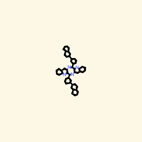 c1cc(/C2=N/c3cc4ccccc4nc3/C(c3cccc(-c4ccc5ccccc5c4)c3)=N\c3cc4ccccc4nc32)cc(-c2ccc3ccccc3c2)c1